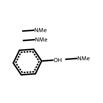 CNC.CNC.CNC.Oc1ccccc1